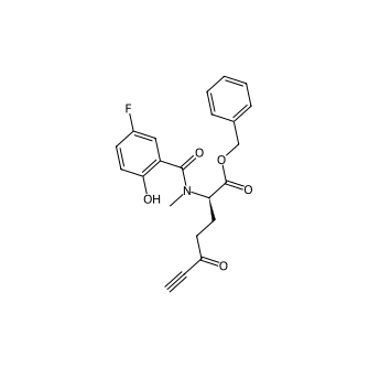 C#CC(=O)CC[C@H](C(=O)OCc1ccccc1)N(C)C(=O)c1cc(F)ccc1O